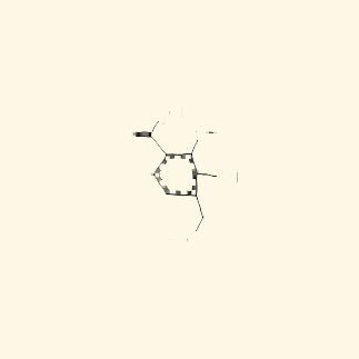 CCc1ccc(C(=O)O)c(OC)c1S